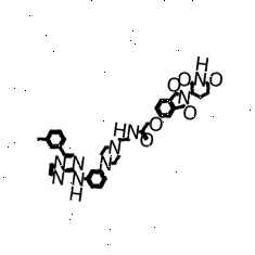 Cc1cccc(-c2cnc(Nc3cccc(N4CCN(CCNC(=O)COc5ccc6c(c5)C(=O)N(C5CCC(=O)NC5=O)C6=O)CC4)c3)c3nccn23)c1